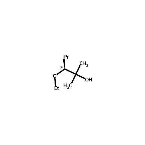 CCO[C@@H](C(C)C)C(C)(C)O